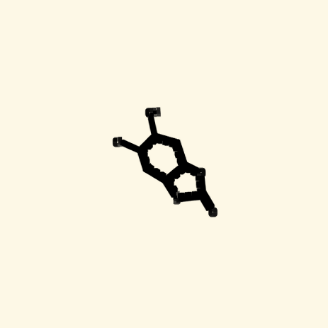 O=c1oc2cc(O)c(Cl)cc2s1